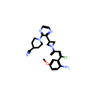 C=C(/C=C(/Cl)c1cc(OC)ccc1N)N1CC(c2nccnc2N2CCC(C#N)CC2)C1